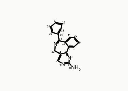 Nc1ncc2c(n1)-c1ccccc1C(c1ccccc1)=NC2